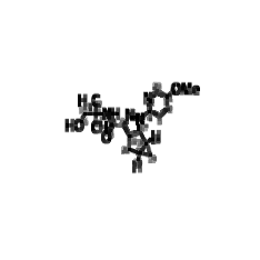 COc1ccc(-n2nc(C(=O)NC(C)(C)CO)c3c2[C@@H]2C[C@@H]2C3)nc1